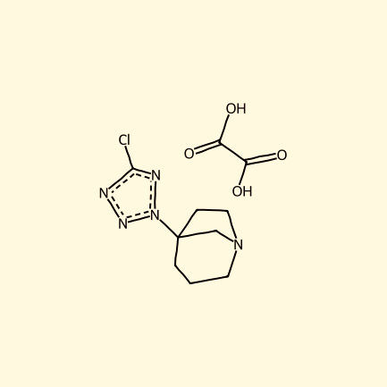 Clc1nnn(C23CCCN(CC2)C3)n1.O=C(O)C(=O)O